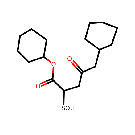 O=C(CC1CCCCC1)CC(C(=O)OC1CCCCC1)S(=O)(=O)O